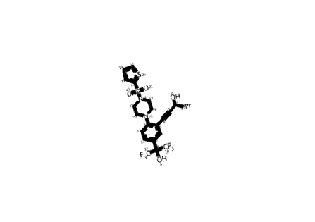 CC(C)C(O)C#Cc1cc(C(O)(C(F)(F)F)C(F)(F)F)ccc1N1CCN(S(=O)(=O)c2cccs2)CC1